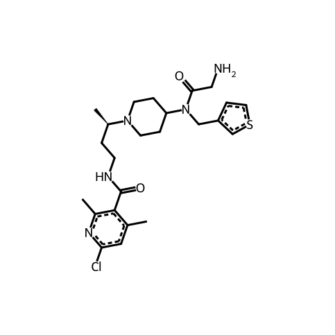 Cc1cc(Cl)nc(C)c1C(=O)NCC[C@@H](C)N1CCC(N(Cc2ccsc2)C(=O)CN)CC1